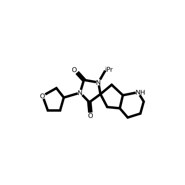 CC(C)N1C(=O)N(C2CCOC2)C(=O)C12CC1CCCNC1C2